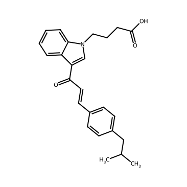 CC(C)Cc1ccc(C=CC(=O)c2cn(CCCC(=O)O)c3ccccc23)cc1